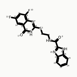 O=C(NCCSc1nc2c(F)cc(F)cc2c(=O)[nH]1)c1nc2ccccc2[nH]1